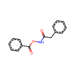 O=C(Cc1ccccc1)NOC(=O)c1ccccc1